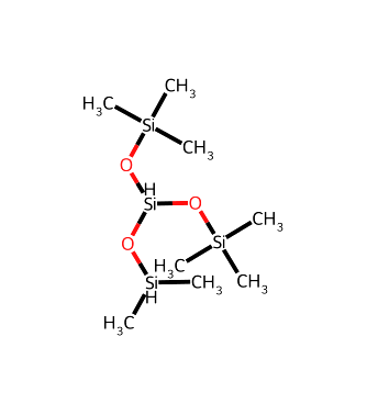 C[SiH](C)O[SiH](O[Si](C)(C)C)O[Si](C)(C)C